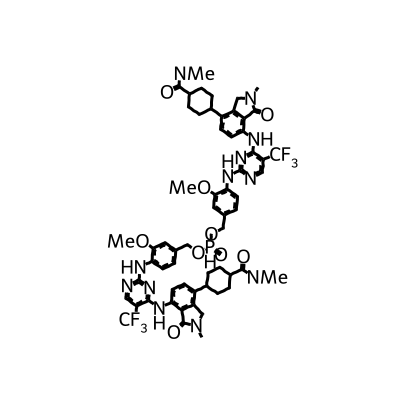 CNC(=O)C1CCC(c2ccc(Nc3nc(Nc4ccc(CO[PH](=O)OCc5ccc(Nc6ncc(C(F)(F)F)c(Nc7ccc(C8CCC(C(=O)NC)CC8)c8c7C(=O)N(C)C8)n6)c(OC)c5)cc4OC)ncc3C(F)(F)F)c3c2CN(C)C3=O)CC1